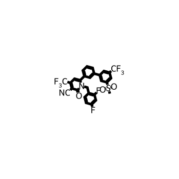 CS(=O)(=O)c1cc(-c2cccc(-c3cc(C(F)(F)F)c(C#N)c(=O)n3Cc3ccc(F)cc3F)c2)cc(C(F)(F)F)c1